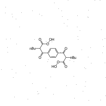 CCCCC(C(=O)OO)C(=O)c1ccc(C(=O)C(CCCC)C(=O)OO)cc1